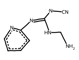 N#C[N]C(=Nc1ccccn1)NCN